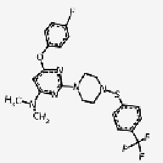 CN(C)c1cc(Oc2ccc(F)cc2)nc(N2CCN(Sc3ccc(C(F)(F)F)cc3)CC2)n1